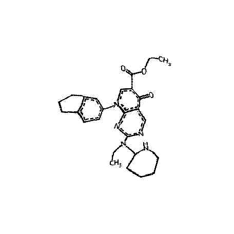 CCOC(=O)c1cn(-c2ccc3c(c2)CCC3)c2nc(N(CC)C3CCCCN3)ncc2c1=O